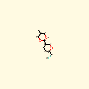 CC1COC(C2CCC(CF)OC2)OC1